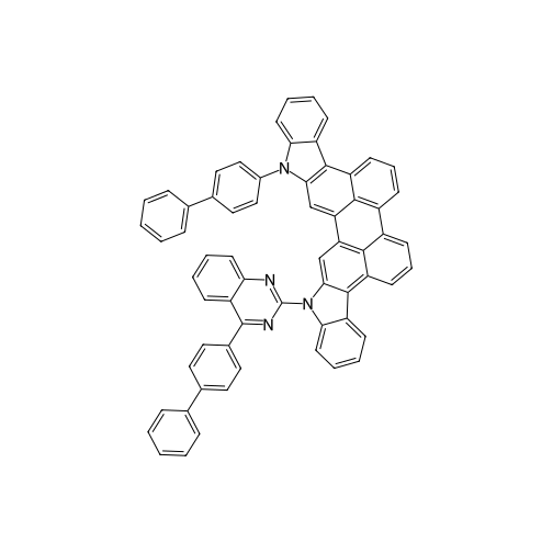 c1ccc(-c2ccc(-c3nc(-n4c5ccccc5c5c6cccc7c8cccc9c8c(cc8c9c9ccccc9n8-c8ccc(-c9ccccc9)cc8)c(cc54)c76)nc4ccccc34)cc2)cc1